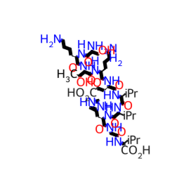 CC(C)[C@H](NC(=O)CNC(=O)[C@H](Cc1c[nH]cn1)NC(=O)[C@@H](NC(=O)[C@@H](NC(=O)[C@H](CCC(=O)O)NC(=O)[C@H](CCCCN)NC(=O)[C@@H](NC(=O)[C@H](CCCCN)NC(=O)[C@@H](N)CO)[C@@H](C)O)C(C)C)C(C)C)C(=O)O